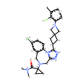 Cc1cccc(N2CC3(CC(c4nnc5n4-c4ccc(Cl)cc4CN(C4(C(=O)N(C)C)CC4)C5)C3)C2)c1F